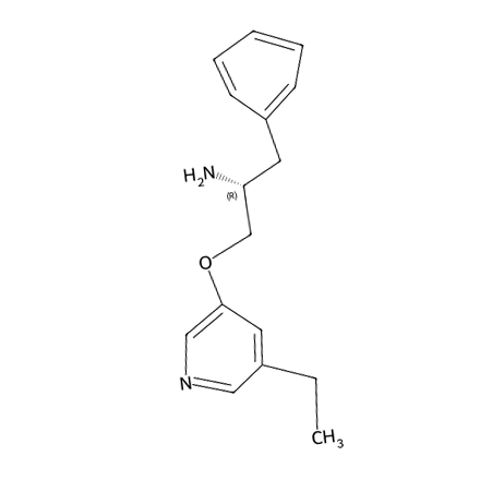 CCc1cncc(OC[C@H](N)Cc2ccccc2)c1